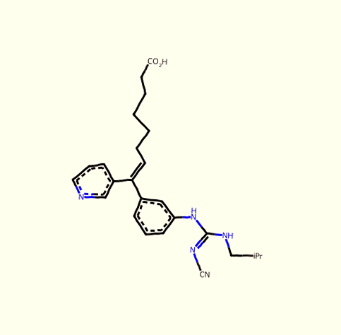 CC(C)CNC(=NC#N)Nc1cccc(C(=CCCCCCC(=O)O)c2cccnc2)c1